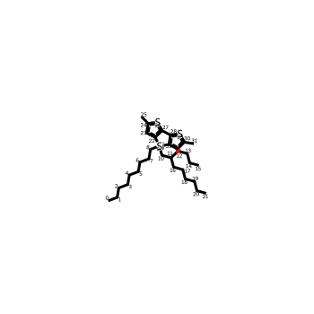 CCCCCCCCC[Si]1(CC(CCCC)CCCCCC)c2cc(C)sc2-c2sc(C)cc21